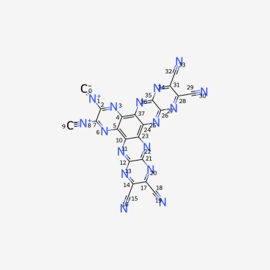 [C-]#[N+]c1nc2c(nc1[N+]#[C-])c1nc3nc(C#N)c(C#N)nc3nc1c1nc3nc(C#N)c(C#N)nc3nc21